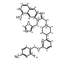 N#Cc1ccc(COc2cccc(C3CCN(Cc4nc5cc6ccnc(O)c6cc5n4Cc4cnco4)CC3)n2)c(F)c1